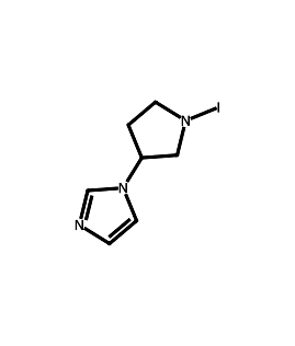 IN1CCC(n2ccnc2)C1